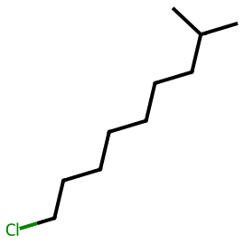 C[C](C)CCCCCCCCl